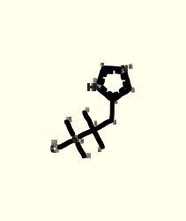 CC(C)(Cc1cnc[nH]1)[Si](C)(C)Cl